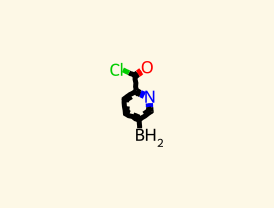 Bc1ccc(C(=O)Cl)nc1